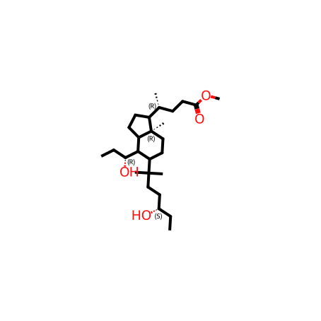 CC[C@H](O)CCC(C)(C)C1CC[C@@]2(C)C(CCC2[C@H](C)CCC(=O)OC)C1[C@H](O)CC